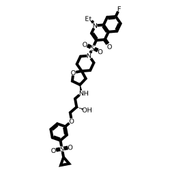 CCn1cc(S(=O)(=O)N2CCC3(CC2)C[C@@H](NC[C@H](O)COc2cccc(S(=O)(=O)C4CC4)c2)CO3)c(=O)c2ccc(F)cc21